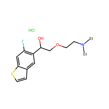 CCN(CC)CCOCC(O)c1cc2ccsc2cc1F.Cl